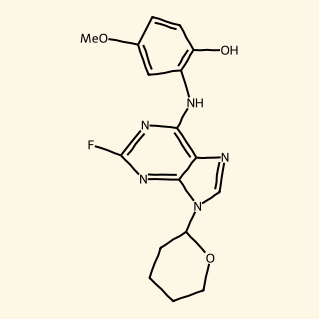 COc1ccc(O)c(Nc2nc(F)nc3c2ncn3C2CCCCO2)c1